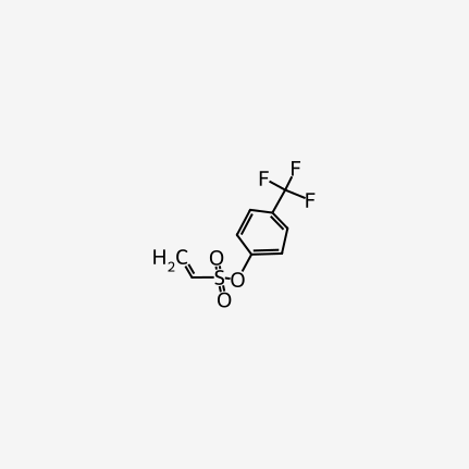 C=CS(=O)(=O)Oc1ccc(C(F)(F)F)cc1